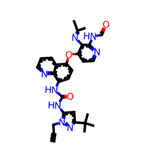 C#CCn1nc(C(C)(C)C)cc1NC(=O)Nc1ccc(Oc2ccnc(NC=O)c2N=C(C)C)c2cccnc12